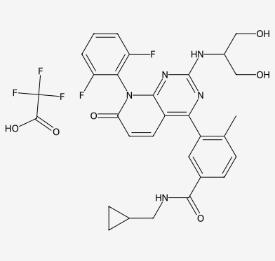 Cc1ccc(C(=O)NCC2CC2)cc1-c1nc(NC(CO)CO)nc2c1ccc(=O)n2-c1c(F)cccc1F.O=C(O)C(F)(F)F